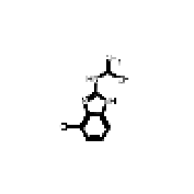 CC(C)Nc1nc2c(Cl)cccc2[nH]1